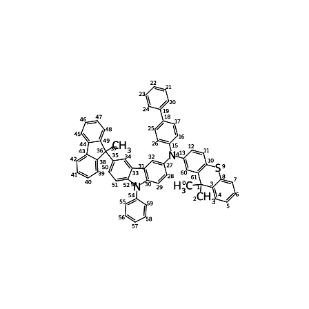 CC1(C)c2ccccc2Sc2ccc(N(c3ccc(-c4ccccc4)cc3)c3ccc4c(c3)c3cc(C5(C)c6ccccc6-c6ccccc65)ccc3n4-c3ccccc3)cc21